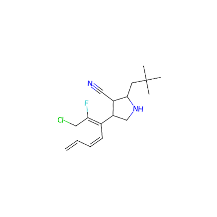 C=C/C=C\C(=C(\F)CCl)C1CNC(CC(C)(C)C)C1C#N